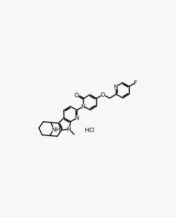 Cl.Cn1c2c(c3ccc(-n4ccc(OCc5ccc(F)cn5)cc4=O)nc31)C1CCCC(C2)N1